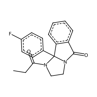 CCC(=O)N1CCN2C(=O)c3ccccc3C12c1ccc(F)cc1